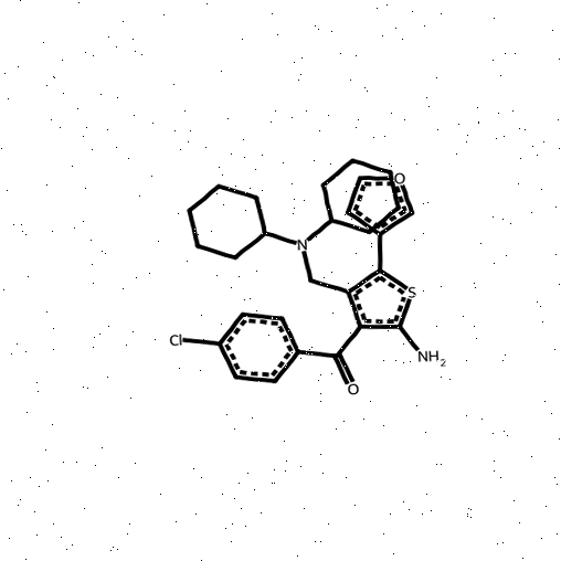 Nc1sc(-c2ccoc2)c(CN(C2CCCCC2)C2CCCCC2)c1C(=O)c1ccc(Cl)cc1